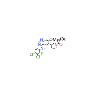 COc1cc2ncnc(Nc3ccc(Cl)c(Cl)c3F)c2cc1C1CCCN(C(=O)OC(C)(C)C)C1